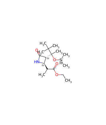 CCOC(=O)C(C)[C@H]1NC(=O)[C@@H]1C(C)(O[SiH](C)C)C(C)(C)C